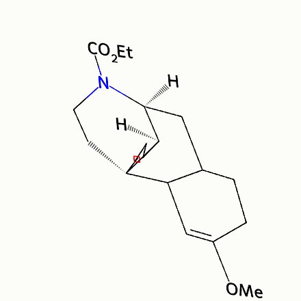 CCOC(=O)N1CC[C@@]23CCCC[C@@H]2[C@@H]1CC1CCC(OC)=CC13